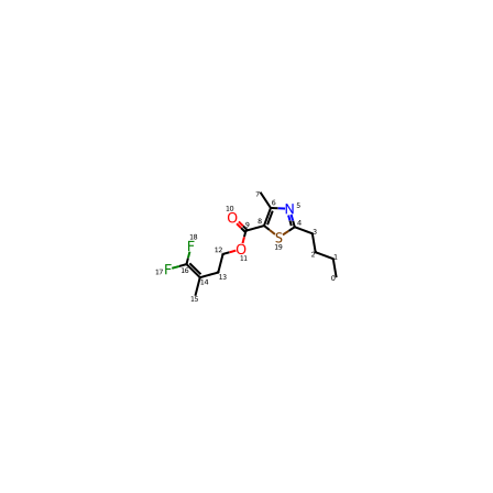 CCCCc1nc(C)c(C(=O)OCCC(C)=C(F)F)s1